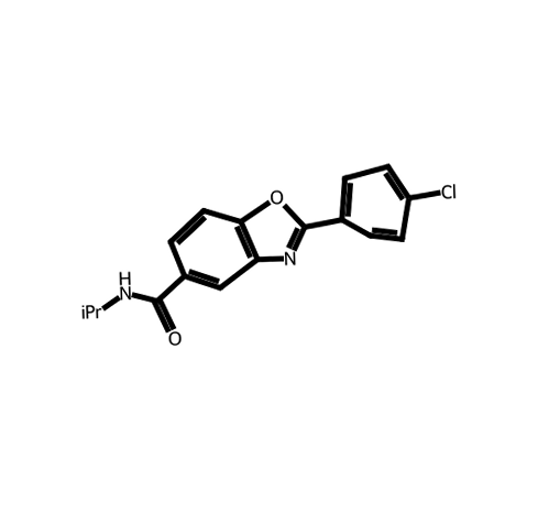 CC(C)NC(=O)c1ccc2oc(-c3ccc(Cl)cc3)nc2c1